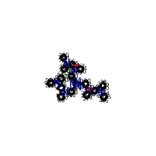 C1=CC2c3cc4c(cc3N(c3cccc(-c5nc(-c6cccc(-n7c8ccccc8c8cc9c(cc87)c7ccccc7n9-c7ccccc7)c6)nc(-c6cccc(-n7c8ccccc8c8ccc9c(c%10ccccc%10n9-c9ccccc9)c87)c6)n5)c3)C2C=C1)c1ccccc1n4-c1ccccc1